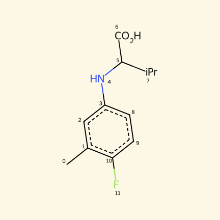 Cc1cc(NC(C(=O)O)C(C)C)ccc1F